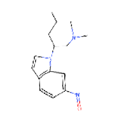 CCCC(CN(C)C)n1ccc2ccc(N=O)cc21